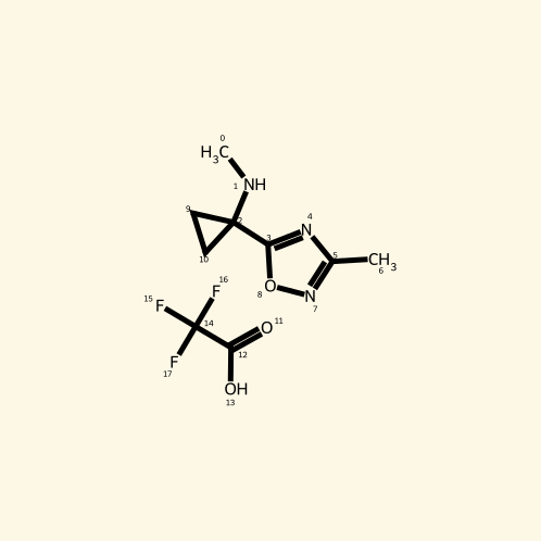 CNC1(c2nc(C)no2)CC1.O=C(O)C(F)(F)F